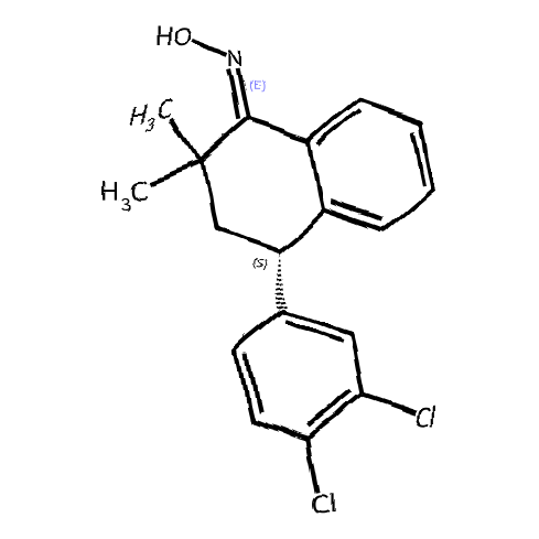 CC1(C)C[C@@H](c2ccc(Cl)c(Cl)c2)c2ccccc2/C1=N/O